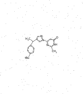 Cc1nc(-n2cc(C(C)c3ccc(C(C)(C)C)cc3)cn2)cc(=O)[nH]1